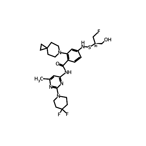 Cc1cc(NC(=O)c2ccc(NS[C@H](CO)CF)cc2N2CCC3(CC2)CC3)nc(N2CCC(F)(F)CC2)n1